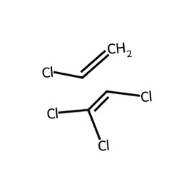 C=CCl.ClC=C(Cl)Cl